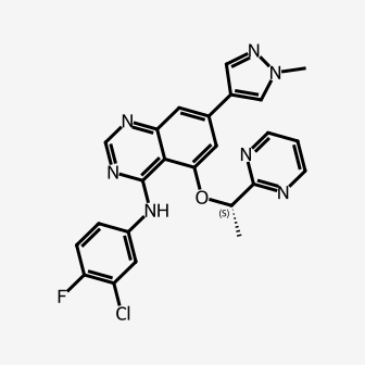 C[C@H](Oc1cc(-c2cnn(C)c2)cc2ncnc(Nc3ccc(F)c(Cl)c3)c12)c1ncccn1